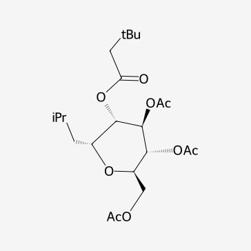 CC(=O)OC[C@H]1O[C@H](CC(C)C)[C@H](OC(=O)CC(C)(C)C)[C@@H](OC(C)=O)[C@@H]1OC(C)=O